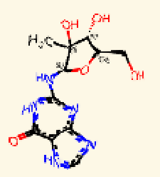 C[C@]1(O)[C@H](Nc2nc3nc[nH]c3c(=O)[nH]2)O[C@H](CO)[C@H]1O